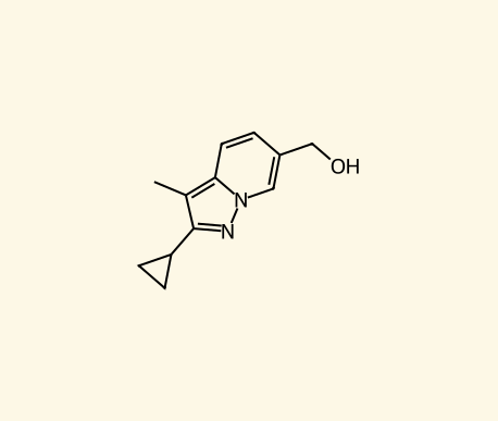 Cc1c(C2CC2)nn2cc(CO)ccc12